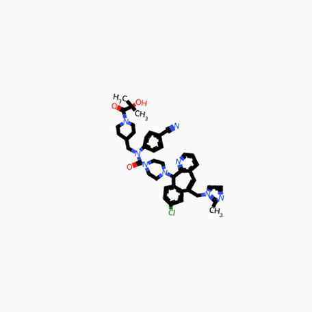 Cc1nccn1CC1=Cc2cccnc2C(N2CCN(C(=O)N(CC3CCN(C(=O)C(C)(C)O)CC3)c3ccc(C#N)cc3)CC2)c2ccc(Cl)cc21